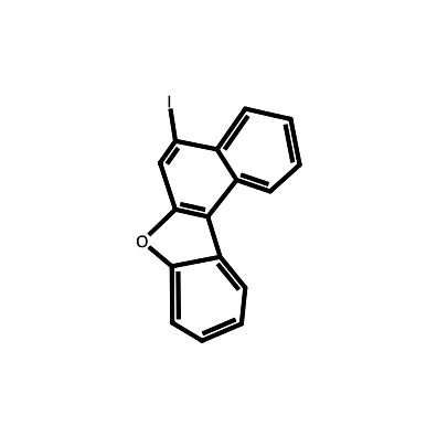 Ic1cc2oc3ccccc3c2c2ccccc12